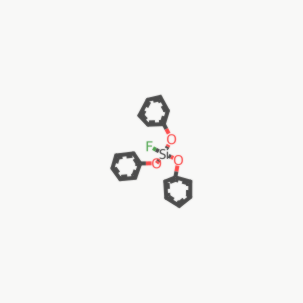 F[Si](Oc1ccccc1)(Oc1ccccc1)Oc1ccccc1